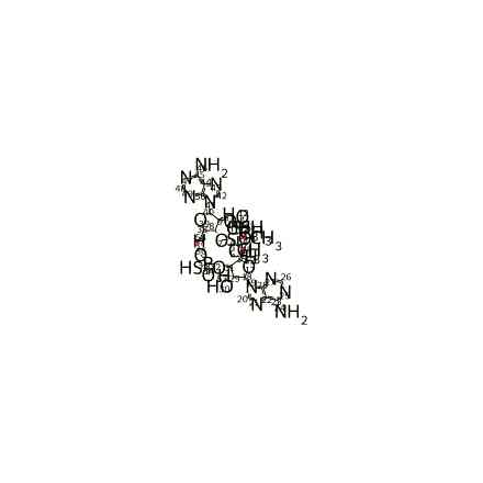 CC(C)(C)[Si](C)(C)OC1[C@H]2O[P@](=O)(S)OC[C@H]3O[C@@H](n4cnc5c(N)ncnc54)[C@H](O)[C@@H]3O[P@](=O)(S)OC[C@H]1O[C@H]2n1cnc2c(N)ncnc21